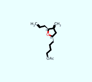 C=CC[C@@H]1O[C@@H](CCCCOC(C)=O)CC1=C